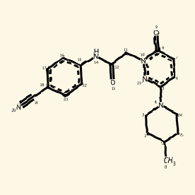 CC1CCN(c2ccc(=O)n(CC(=O)Nc3ccc(C#N)cc3)n2)CC1